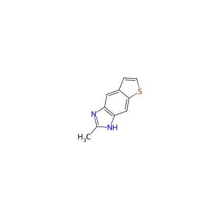 Cc1nc2cc3ccsc3cc2[nH]1